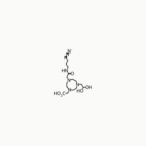 [N-]=[N+]=NCCCNC(=O)CN1CCN(CC(=O)O)CCN(CC(O)O)CC1